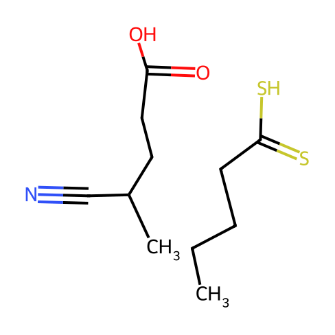 CC(C#N)CCC(=O)O.CCCCC(=S)S